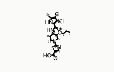 CCCOC1CN(c2ncc(C(=O)O)s2)CCC1NC(=O)c1[nH]c(C)c(Cl)c1Cl